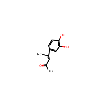 CC(C)COC(=O)C=C(C#N)c1ccc(O)c(O)c1